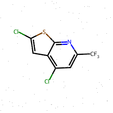 FC(F)(F)c1cc(Cl)c2cc(Cl)sc2n1